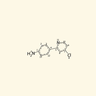 Nc1ccc(-c2cc(Cl)ccn2)cc1